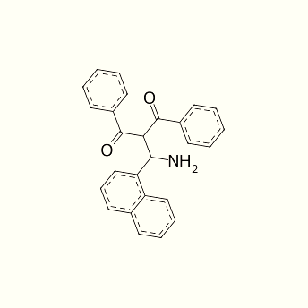 NC(c1cccc2ccccc12)C(C(=O)c1ccccc1)C(=O)c1ccccc1